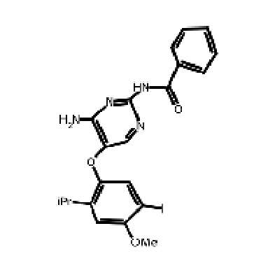 COc1cc(C(C)C)c(Oc2cnc(NC(=O)c3ccccc3)nc2N)cc1I